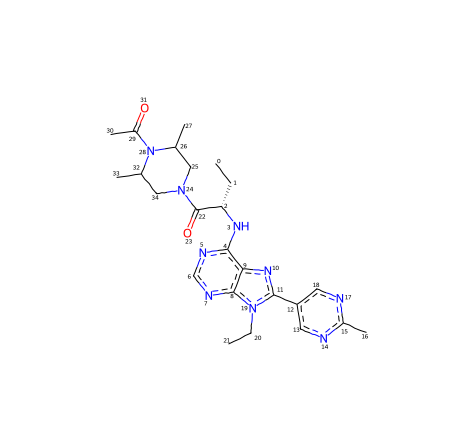 CC[C@H](Nc1ncnc2c1nc(-c1cnc(C)nc1)n2CC)C(=O)N1CC(C)N(C(C)=O)C(C)C1